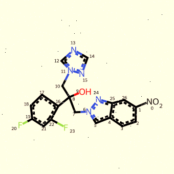 O=[N+]([O-])c1ccc2cn(CC(O)(Cn3cncn3)c3ccc(F)cc3F)nc2c1